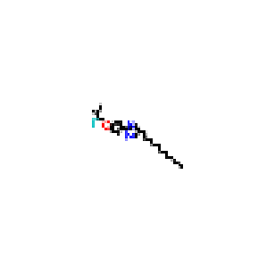 CCCCCCCCCCCCc1cnc(-c2ccc(OCC(F)C(C)CC)cc2)nc1